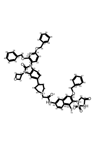 O=C(CN1CCC(c2ccc3c(c2)n(C2COC2)c(=O)n3-c2ccc(OCc3ccccc3)nc2OCc2ccccc2)CC1)Nc1ccc2c(F)c(N3CC(=O)NS3(=O)=O)c(OCc3ccccc3)cc2c1